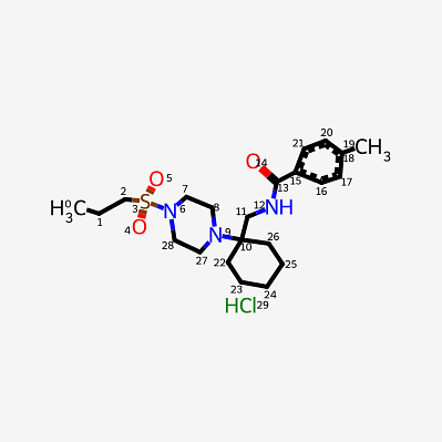 CCCS(=O)(=O)N1CCN(C2(CNC(=O)c3ccc(C)cc3)CCCCC2)CC1.Cl